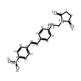 O=C1CCC(=O)N1CNc1ccc(/C=C/c2ccc([N+](=O)[O-])cc2)cc1